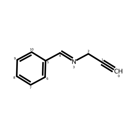 C#CCN=Cc1ccccc1